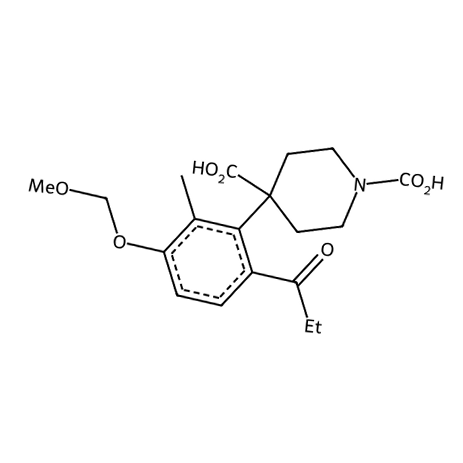 CCC(=O)c1ccc(OCOC)c(C)c1C1(C(=O)O)CCN(C(=O)O)CC1